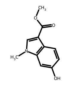 COC(=O)c1cn(C)c2cc(O)ccc12